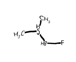 C[SH](C)BF